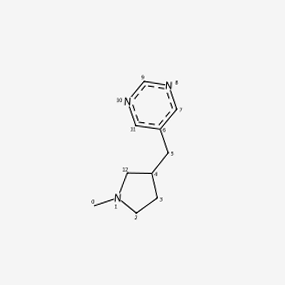 CN1CCC(Cc2cncnc2)C1